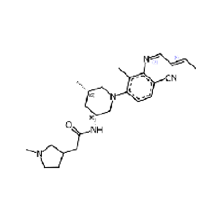 C/C=C/C=N\c1c(C#N)ccc(N2C[C@@H](C)C[C@@H](NC(=O)CC3CCN(C)C3)C2)c1C